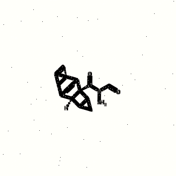 NN(C=O)C(=O)[C@@]12C3CC3[C@H]1C1C=CC2[C@]23C=C2C13